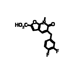 Cn1c(=O)c(Cc2ccc(F)c(F)c2)cc2cc(C(=O)O)oc21